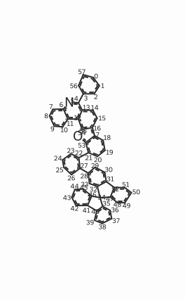 c1ccc(-c2nc3ccccc3c3c2ccc2c4cccc(-c5ccccc5-c5ccc6c(c5)C5(c7ccccc7-c7ccccc75)c5ccccc5-6)c4oc23)cc1